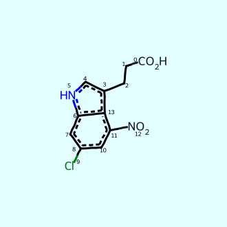 O=C(O)CCc1c[nH]c2cc(Cl)cc([N+](=O)[O-])c12